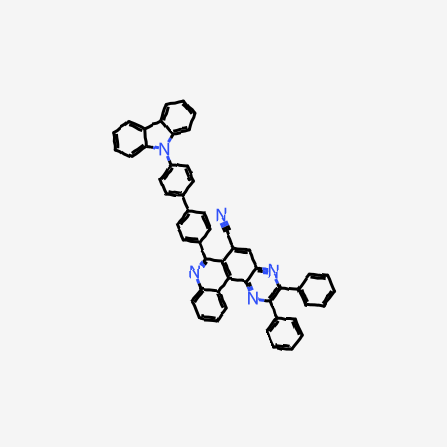 N#Cc1cc2nc(-c3ccccc3)c(-c3ccccc3)nc2c2c1c(-c1ccc(-c3ccc(-n4c5ccccc5c5ccccc54)cc3)cc1)nc1ccccc12